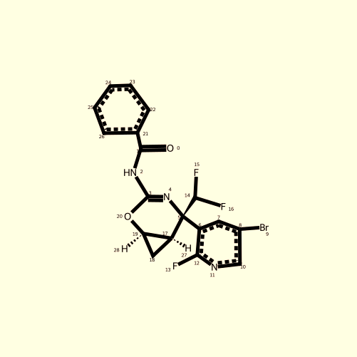 O=C(NC1=N[C@@](c2cc(Br)cnc2F)(C(F)F)[C@H]2C[C@H]2O1)c1ccccc1